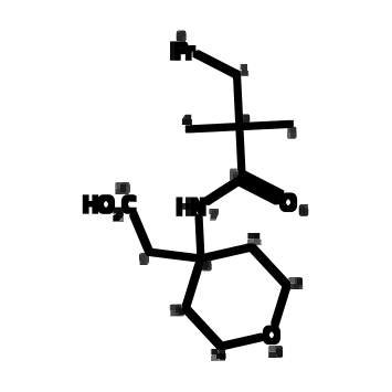 CC(C)CC(C)(C)C(=O)NC1(CC(=O)O)CCOCC1